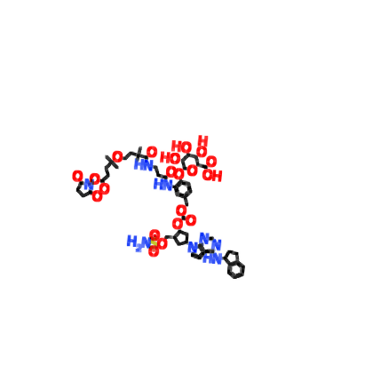 CC(C)(CCC(=O)ON1C(=O)CCC1=O)OCCC(C)(C)C(=O)NCCC(=O)Nc1cc(COC(=O)O[C@@H]2C[C@H](n3ccc4c(N[C@H]5CCc6ccccc65)ncnc43)C[C@H]2COS(N)(=O)=O)ccc1O[C@@H]1O[C@H](C(=O)O)[C@@H](O)[C@H](O)[C@H]1O